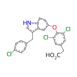 O=C(O)Cc1cc(Cl)c(Oc2ccc3[nH]cc(Cc4ccc(Cl)cc4)c3c2)c(Cl)c1